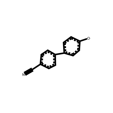 N#Cc1ccc(-c2ccc([O])cc2)cc1